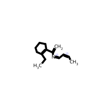 C=C(/N=C\C=C/C)C1=C(CC)CCCC1